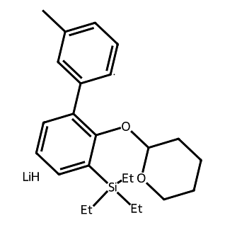 CC[Si](CC)(CC)c1cccc(-c2[c]ccc(C)c2)c1OC1CCCCO1.[LiH]